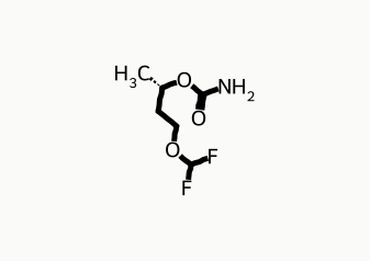 C[C@@H](CCOC(F)F)OC(N)=O